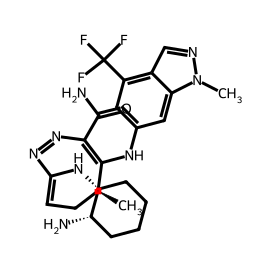 C[C@H]1C/C=C(N[C@@H]2CCCC[C@@H]2N)/N=N\C(C(N)=O)=C/1Nc1cc(C(F)(F)F)c2cnn(C)c2c1